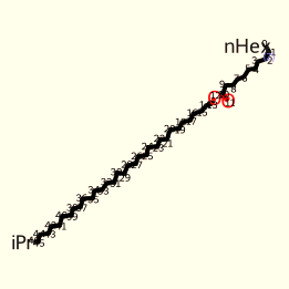 CCCCCC/C=C\CCCCCCCC(=O)OCCCCCCCCCCCCCCCCCCCCCCCCCCCCCCCCCC(C)C